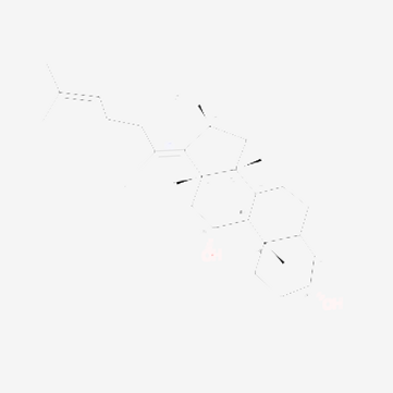 CC(=O)O[C@H]1C[C@@]2(C)[C@H](C[C@@H](O)[C@@H]3[C@@]4(C)CC[C@@H](O)[C@@H](C)C4CC[C@@]32C)/C1=C(/CCC=C(C)C)C(=O)O